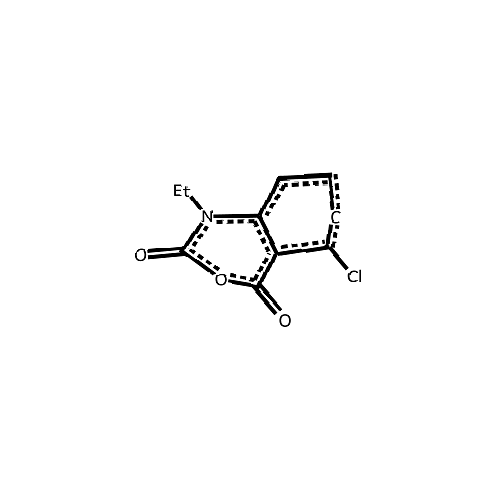 CCn1c(=O)oc(=O)c2c(Cl)cccc21